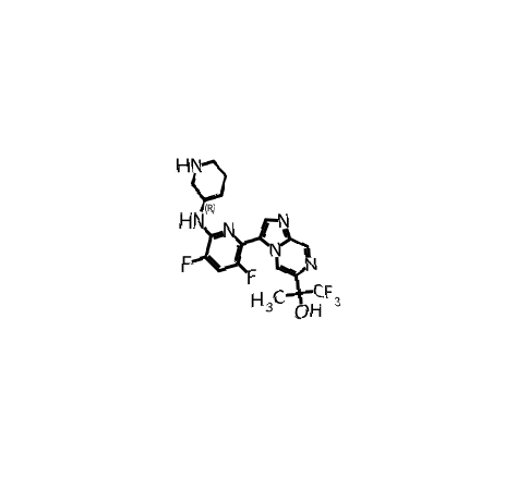 CC(O)(c1cn2c(-c3nc(N[C@@H]4CCCNC4)c(F)cc3F)cnc2cn1)C(F)(F)F